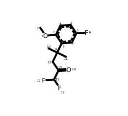 COc1ccc(F)cc1C(C)(C)CC(=O)C(F)F